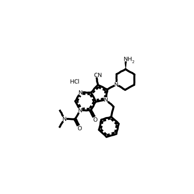 CN(C)C(=O)n1cnc2c(C#N)c(N3CCC[C@H](N)C3)n(Cc3ccccc3)c2c1=O.Cl